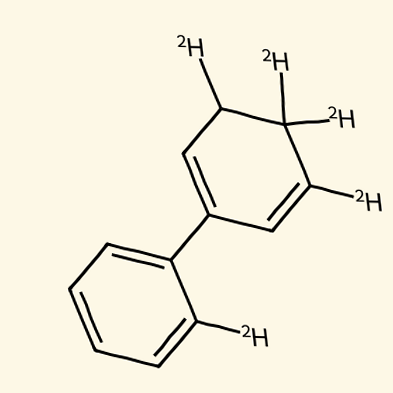 [2H]C1=CC(c2ccccc2[2H])=CC([2H])C1([2H])[2H]